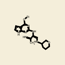 CCOc1nc(N/C(=C/NC2CCCOC2)C(C)=N)nc2[nH]ccc12